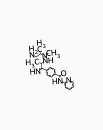 CC(NN(C)C(C)CN)C(=N)c1ccc(C(=O)Nc2ccccn2)cc1